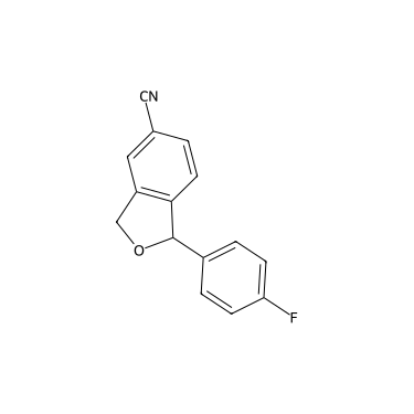 N#Cc1ccc2c(c1)COC2c1ccc(F)cc1